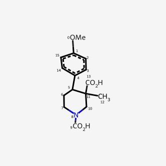 COc1ccc(C2CCN(C(=O)O)CC2(C)C(=O)O)cc1